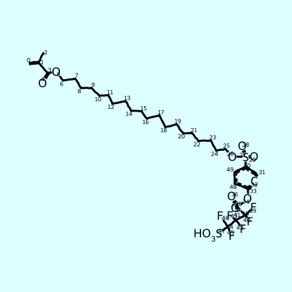 C=C(C)C(=O)OCCCCCCCCCCCCCCCCCCCCOS(=O)(=O)c1ccc(OS(=O)(=O)C(F)(F)C(F)(F)C(F)(F)S(=O)(=O)O)cc1